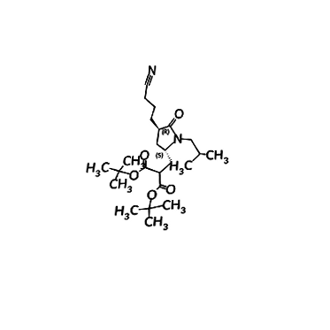 CC(C)CN1C(=O)[C@H](CCCC#N)C[C@H]1CC(C(=O)OC(C)(C)C)C(=O)OC(C)(C)C